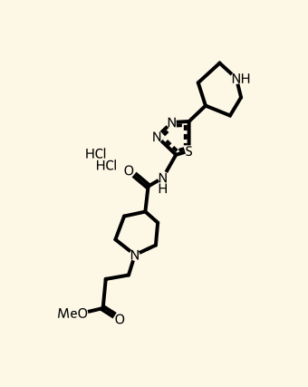 COC(=O)CCN1CCC(C(=O)Nc2nnc(C3CCNCC3)s2)CC1.Cl.Cl